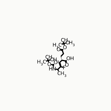 CC(NC(=O)OC(C)(C)C)C(F)=C[C@H](CCC(=O)OC(C)(C)C)C(=O)O